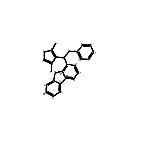 CC1=CCC(C)=C1C(Cc1ccccc1)c1cccc2c1Cc1ccccc1-2